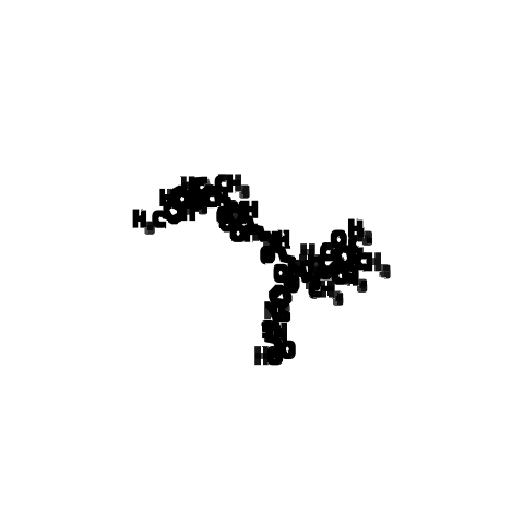 CC1=C(C)C(=O)C(C(C)(C)CC(=O)N(C)CCN(CCCC(=O)NCCCCC(NC(=O)CC[C@@H](C)[C@H]2CC[C@H]3[C@@H]4CC[C@@H]5C[C@H](C)CC[C@]5(C)[C@H]4CC[C@]23C)C(=O)O)C(=O)Oc2ccc3nc(C4=NC(C(=O)O)CS4)sc3c2)=C(C)C1=O